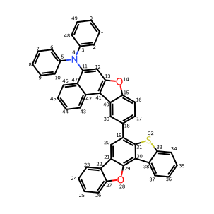 c1ccc(N(c2ccccc2)c2cc3oc4ccc(-c5cc6c7ccccc7oc6c6c5sc5ccccc56)cc4c3c3ccccc23)cc1